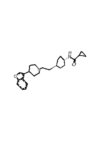 O=C(N[C@H]1CC[C@H](CCN2CCC(c3coc4ccccc34)CC2)CC1)C1CC1